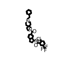 O=C(NC1CCc2ccc(C(=O)N3CCC4(CCN(CCc5ccccc5)CC4)C3)cc21)c1cc(C(F)(F)F)ccc1Cl